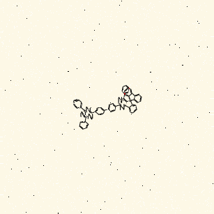 c1ccc(-c2nc(-c3ccccc3)nc(-c3ccc(-c4ccc(-c5nc(-c6ccccc6)c6c(n5)-c5ccccc5C65c6ccccc6-c6ccccc65)cc4)cc3)n2)cc1